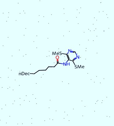 CCCCCCCCCCCCCCCC(=O)Nc1c(SC)ncnc1SC